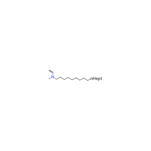 C=CN(C)CCCCCCCCCCCCCCCC